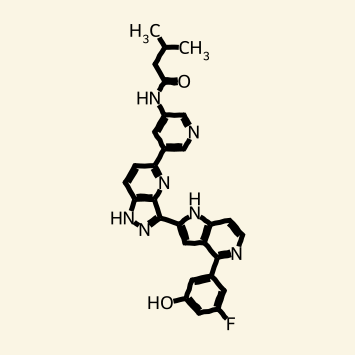 CC(C)CC(=O)Nc1cncc(-c2ccc3[nH]nc(-c4cc5c(-c6cc(O)cc(F)c6)nccc5[nH]4)c3n2)c1